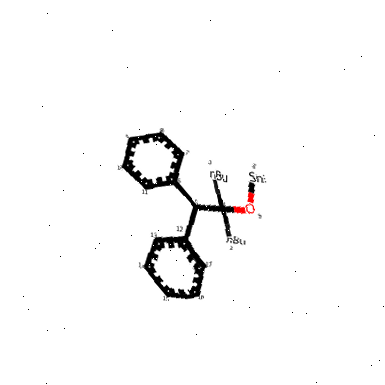 CCCCC(CCCC)([O][Sn])C(c1ccccc1)c1ccccc1